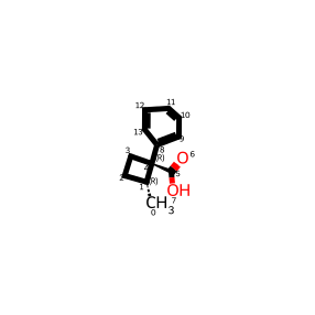 C[C@@H]1CC[C@]1(C(=O)O)c1ccccc1